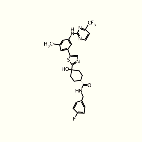 Cc1cc(Nc2nccc(C(F)(F)F)n2)cc(-c2cnc([C@]3(O)CC[C@H](C(=O)NCc4ccc(F)cc4)CC3)s2)c1